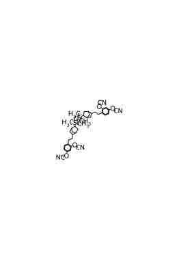 C[Si](C)(O[Si](C)(C)C1CC2CC1CC2CCc1ccc(OC#N)cc1OC#N)C1CC2CC1CC2CCc1ccc(OC#N)cc1OC#N